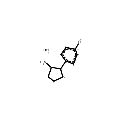 Cl.NC1CCCC1c1ccc(Cl)cc1